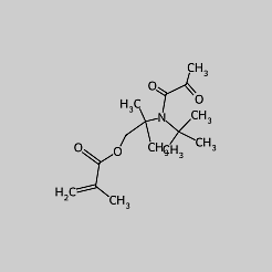 C=C(C)C(=O)OCC(C)(C)N(C(=O)C(C)=O)C(C)(C)C